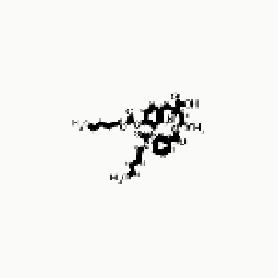 CCCCCOC(=O)Oc1ccc(CC(N)(C[C@H](C)OC(=O)c2ccccc2)C(=O)O)cc1OC(=O)OCCCCC